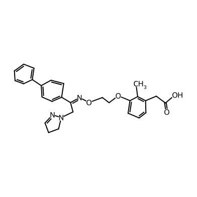 Cc1c(CC(=O)O)cccc1OCCO/N=C(\CN1CCC=N1)c1ccc(-c2ccccc2)cc1